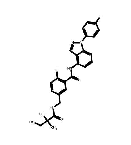 CC(C)(CO)C(=O)NCc1ccc(Cl)c(C(=O)Nc2cccc3c2cnn3-c2ccc(F)cc2)c1